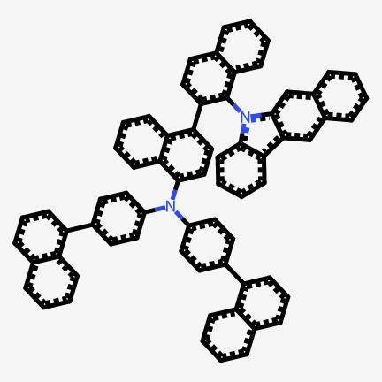 c1ccc2cc3c(cc2c1)c1ccccc1n3-c1c(-c2ccc(N(c3ccc(-c4cccc5ccccc45)cc3)c3ccc(-c4cccc5ccccc45)cc3)c3ccccc23)ccc2ccccc12